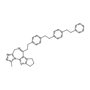 Cc1nnc2n1-c1sc3c(c1C(CCc1ccc(CCc4ccc(CCc5ccccc5)cc4)cc1)=NC2)CCC3